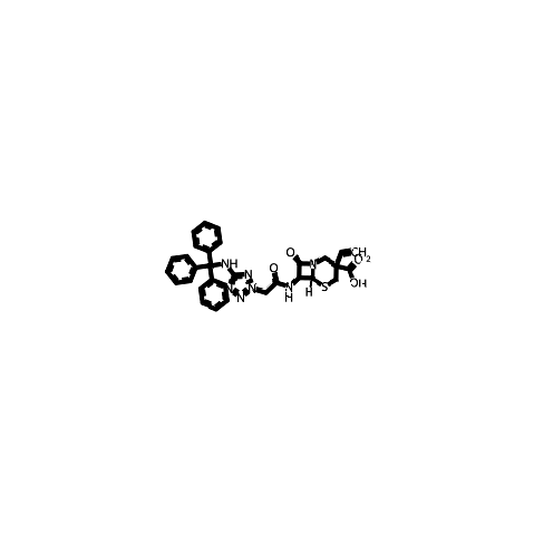 C=CC1(C(=O)O)CS[C@@H]2C(NC(=O)Cn3nnc(NC(c4ccccc4)(c4ccccc4)c4ccccc4)n3)C(=O)N2C1